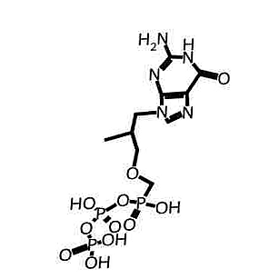 CC(COCP(=O)(O)OP(=O)(O)OP(=O)(O)O)Cn1cnc2c(=O)[nH]c(N)nc21